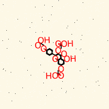 O=C(O)COc1ccc(-c2oc3cc(OCC(=O)O)cc(O)c3c(=O)c2OCC(=O)O)cc1